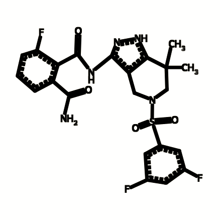 CC1(C)CN(S(=O)(=O)c2cc(F)cc(F)c2)Cc2c(NC(=O)c3c(F)cccc3C(N)=O)n[nH]c21